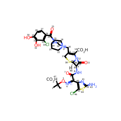 CC(C)(O/N=C(\C(=O)N[C@@H]1C(=O)N2C(C(=O)O)=C(C[N+]34CCC(CC3)N(C(=O)c3ccc(O)c(O)c3Cl)CC4)CS[C@H]12)c1nc(N)sc1Cl)C(=O)O